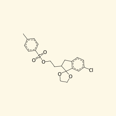 Cc1ccc(S(=O)(=O)OCCC2Cc3ccc(Cl)cc3C23OCCO3)cc1